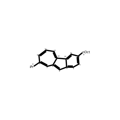 CCCCCCCCc1ccc2cc3cc(C(C)C)cccc-3c2c1